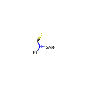 CCN(C=S)SC